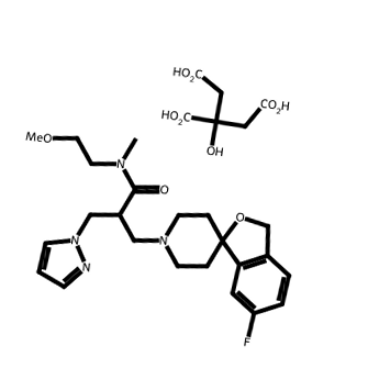 COCCN(C)C(=O)C(CN1CCC2(CC1)OCc1ccc(F)cc12)Cn1cccn1.O=C(O)CC(O)(CC(=O)O)C(=O)O